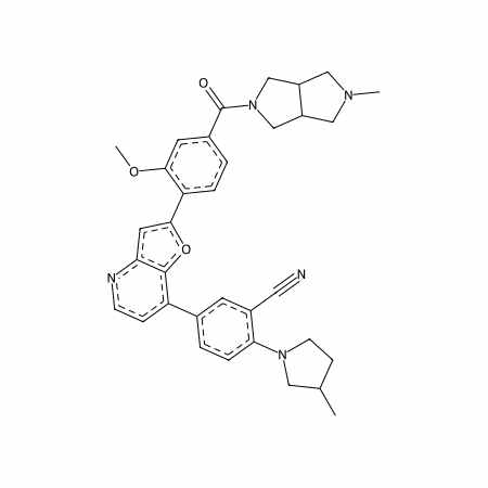 COc1cc(C(=O)N2CC3CN(C)CC3C2)ccc1-c1cc2nccc(-c3ccc(N4CCC(C)C4)c(C#N)c3)c2o1